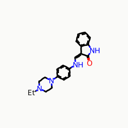 CCN1CCN(c2ccc(NC=C3C(=O)Nc4ccccc43)cc2)CC1